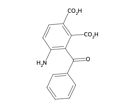 Nc1ccc(C(=O)O)c(C(=O)O)c1C(=O)c1ccccc1